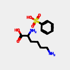 NCCCCC(N)C(=O)O.O=S(=O)(O)c1ccccc1